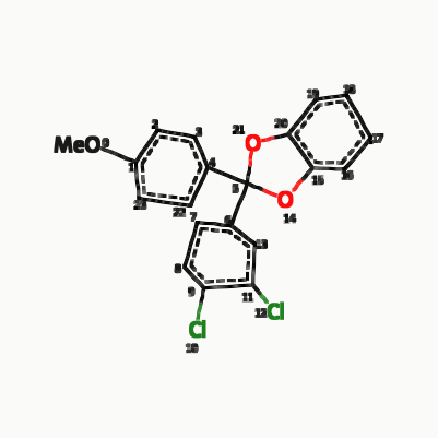 COc1ccc(C2(c3ccc(Cl)c(Cl)c3)Oc3c[c]ccc3O2)cc1